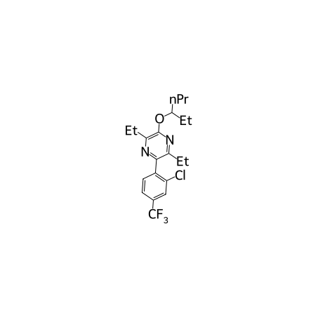 CCCC(CC)Oc1nc(CC)c(-c2ccc(C(F)(F)F)cc2Cl)nc1CC